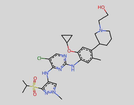 Cc1cc(Nc2ncc(Cl)c(Nc3cn(C)nc3S(=O)(=O)C(C)C)n2)c(OC2CC2)cc1C1CCCN(CCO)C1